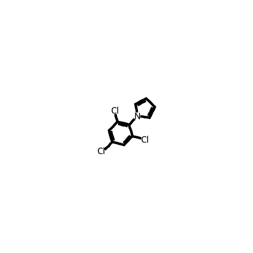 Clc1cc(Cl)c(-n2cccc2)c(Cl)c1